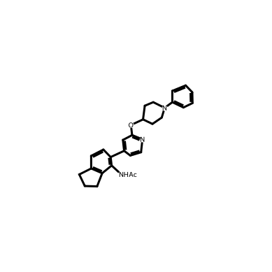 CC(=O)Nc1c(-c2ccnc(OC3CCN(c4ccccc4)CC3)c2)ccc2c1CCC2